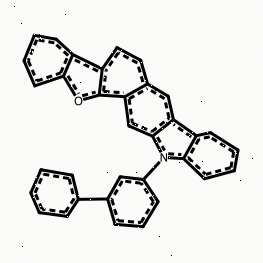 c1ccc(-c2cccc(-n3c4ccccc4c4cc5ccc6c7ccccc7oc6c5cc43)c2)cc1